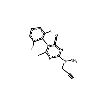 C#CCN(N)c1nc(C)n(-c2c(Cl)cccc2Cl)c(=O)n1